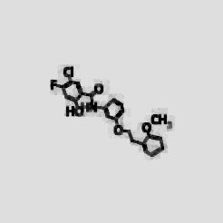 COc1ccccc1CCOc1cccc(NC(=O)c2cc(Cl)c(F)cc2O)c1